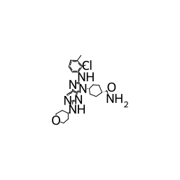 Cc1cccc(Nc2nc3cnc(NC4CCOCC4)nc3n2[C@H]2CC[C@@H](C(N)=O)CC2)c1Cl